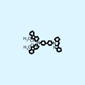 CC1(C)c2ccccc2-c2ccc(N(c3ccc(-c4ccc(-n5c6nc7ccccc7c-6cc6ccccc65)cc4)cc3)c3ccc4c(c3)C(C)(C)c3ccccc3-4)cc21